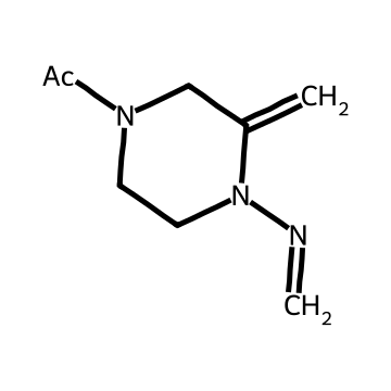 C=NN1CCN(C(C)=O)CC1=C